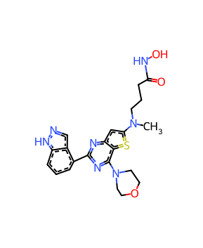 CN(CCCC(=O)NO)c1cc2nc(-c3cccc4[nH]ncc34)nc(N3CCOCC3)c2s1